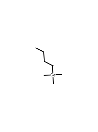 CCC[CH][Ge]([CH3])([CH3])[CH3]